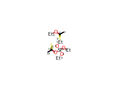 CCOC(C)=S.CCO[Si](OCC)(OCC)OC(C)=S